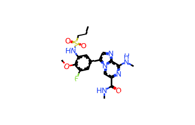 CCCS(=O)(=O)Nc1cc(-c2cnc3c(NC)nc(C(=O)NC)cn23)cc(F)c1OC